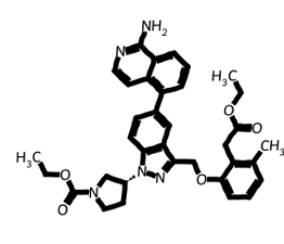 CCOC(=O)Cc1c(C)cccc1OCc1nn([C@@H]2CCN(C(=O)OCC)C2)c2ccc(-c3cccc4c(N)nccc34)cc12